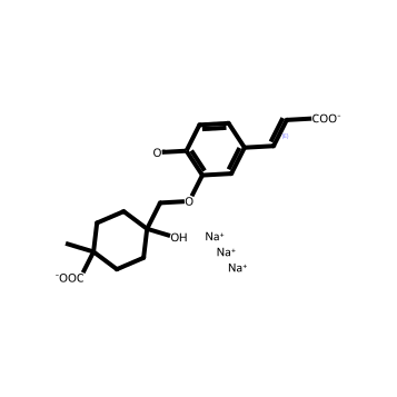 CC1(C(=O)[O-])CCC(O)(COc2cc(/C=C/C(=O)[O-])ccc2[O-])CC1.[Na+].[Na+].[Na+]